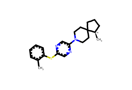 Cc1ccccc1Sc1cnc(N2CCC3(CCC[C@H]3C)CC2)cn1